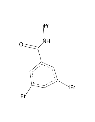 CCc1cc(C(=O)NC(C)C)cc(C(C)C)c1